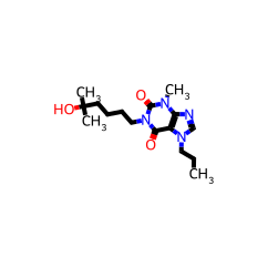 CCCn1cnc2c1c(=O)n(CCCCC(C)(C)O)c(=O)n2C